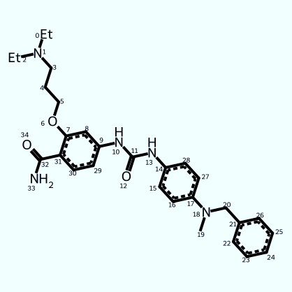 CCN(CC)CCCOc1cc(NC(=O)Nc2ccc(N(C)Cc3ccccc3)cc2)ccc1C(N)=O